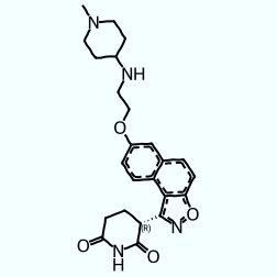 CN1CCC(NCCOc2ccc3c(ccc4onc([C@H]5CCC(=O)NC5=O)c43)c2)CC1